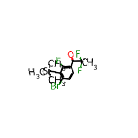 CC(F)(F)C(=O)c1ccc(Br)c([Si](C)(C)C)c1F